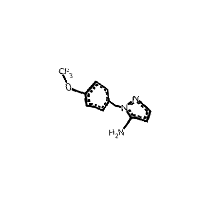 Nc1ccnn1-c1ccc(OC(F)(F)F)cc1